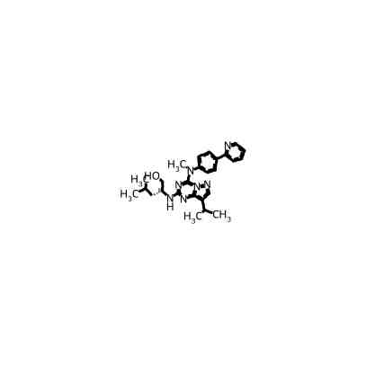 CC(C)C[C@H](CO)Nc1nc(N(C)c2ccc(-c3ccccn3)cc2)n2ncc(C(C)C)c2n1